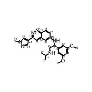 COc1cc(OC)cc(C(CNC(C)C)Nc2ccc3nnc(-c4cnn(C)c4)cc3c2)c1